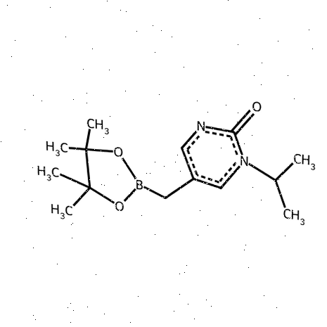 CC(C)n1cc(CB2OC(C)(C)C(C)(C)O2)cnc1=O